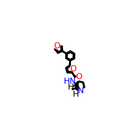 C[C@H]1[C@H](NC(=O)c2ccc(-c3cccc(-c4ccoc4)c3)o2)C2CCN1CC2